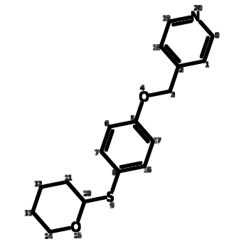 c1cc(COc2ccc(SC3CCCCO3)cc2)ccn1